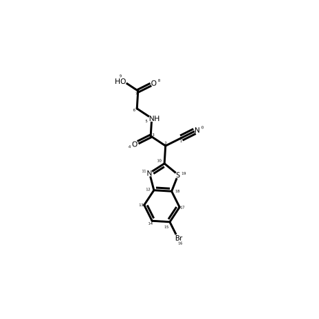 N#CC(C(=O)NCC(=O)O)c1nc2ccc(Br)cc2s1